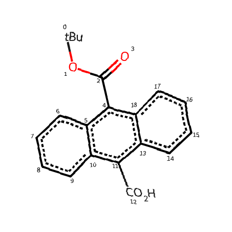 CC(C)(C)OC(=O)c1c2ccccc2c(C(=O)O)c2ccccc12